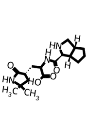 CC1(C)C[C@@H](CC(NC(=O)[C@H]2NC[C@@H]3CCC[C@@H]32)C(=O)O)C(=O)N1